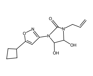 C=CCN1C(=O)N(c2cc(C3CCC3)on2)C(O)C1O